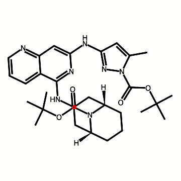 Cc1cc(Nc2cc3ncccc3c(NC3C[C@H]4CCC[C@@H](C3)N4C(=O)OC(C)(C)C)n2)nn1C(=O)OC(C)(C)C